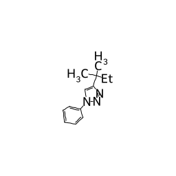 CCC(C)(C)c1cn(-c2ccccc2)nn1